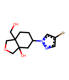 OCC12CCC(n3cc(Br)cn3)CC1(O)COC2